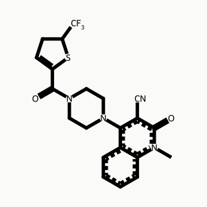 Cn1c(=O)c(C#N)c(N2CCN(C(=O)C3=CCC(C(F)(F)F)S3)CC2)c2ccccc21